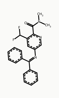 CN(C)C(=O)c1ncc(N=C(c2ccccc2)c2ccccc2)cc1C(F)F